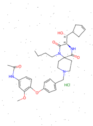 CCCCN1C(=O)[C@@H]([C@H](O)C2CC=CC2)NC(=O)C12CCN(Cc1ccc(Oc3ccc(NC(C)=O)cc3OC)cc1)CC2.Cl